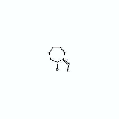 CC/N=C1/CCCCCN1CC